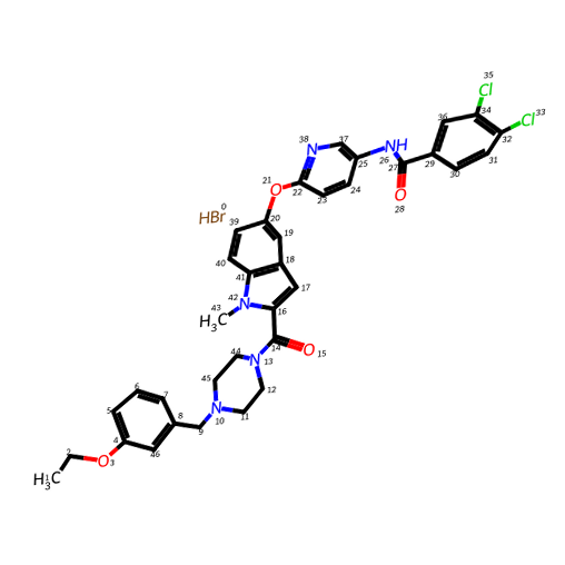 Br.CCOc1cccc(CN2CCN(C(=O)c3cc4cc(Oc5ccc(NC(=O)c6ccc(Cl)c(Cl)c6)cn5)ccc4n3C)CC2)c1